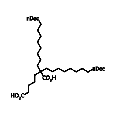 CCCCCCCCCCCCCCCCCCC(CCCCCCCCCCCCCCCCCC)(CCCCC(=O)O)C(=O)O